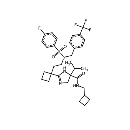 CC(C)C1(C(=O)NCC2CCC2)CN=C(C2(CCN(Cc3ccc(C(F)(F)F)cc3)S(=O)(=O)c3ccc(F)cc3)CCC2)N1